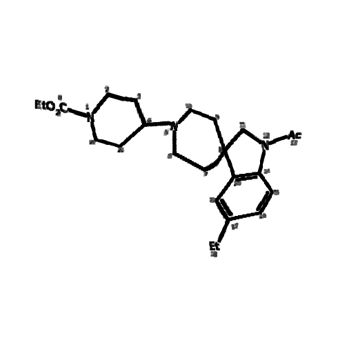 CCOC(=O)N1CCC(N2CCC3(CC2)CN(C(C)=O)c2ccc(CC)cc23)CC1